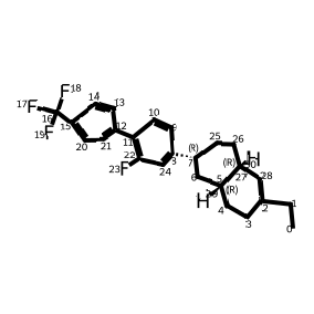 CCC1CC[C@@H]2C[C@H](c3ccc(-c4ccc(C(F)(F)F)cc4)c(F)c3)CC[C@@H]2C1